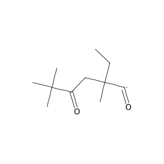 CCC(C)([C]=O)CC(=O)C(C)(C)C